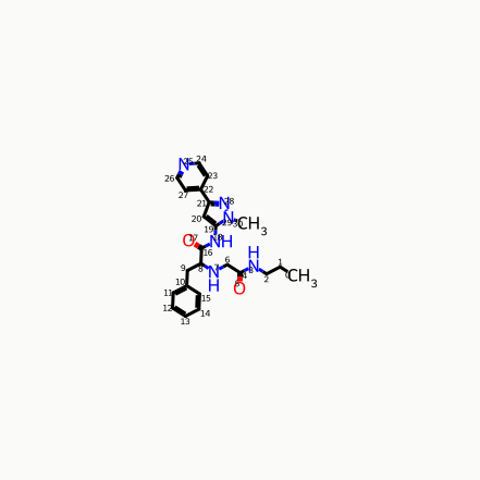 CCCNC(=O)CNC(Cc1ccccc1)C(=O)Nc1cc(-c2ccncc2)nn1C